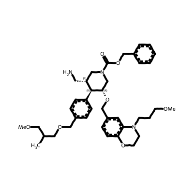 COCCCN1CCOc2ccc(CO[C@H]3CN(C(=O)OCc4ccccc4)C[C@@H](CN)[C@@H]3c3ccc(COCC(C)COC)cc3)cc21